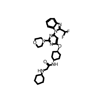 O=C(CNC1CCCCC1)N[C@H]1CC[C@H](Oc2cc(-n3c(C(F)F)nc4ccccc43)nc(N3CCOCC3)n2)CC1